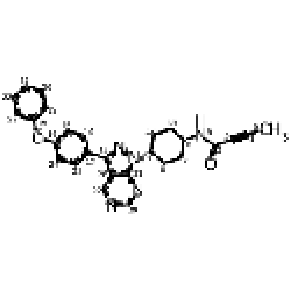 CC#CC(=O)N[C@H]1CC[C@H](n2nc(-c3ccc(Oc4ccccc4)cc3)c3cncnc32)CC1